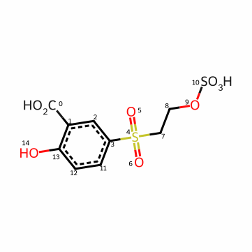 O=C(O)c1cc(S(=O)(=O)CCOS(=O)(=O)O)ccc1O